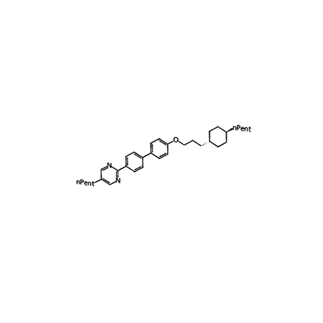 CCCCCc1cnc(-c2ccc(-c3ccc(OCCC[C@H]4CC[C@H](CCCCC)CC4)cc3)cc2)nc1